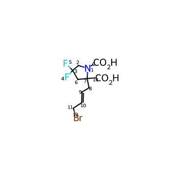 O=C(O)N1CC(F)(F)CC1(CC=CCBr)C(=O)O